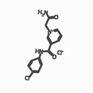 NC(=O)C[n+]1cccc(C(=O)Nc2ccc(Cl)cc2)c1.[Cl-]